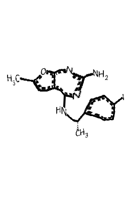 Cc1cc2c(N[C@@H](C)c3ccc(I)cc3)nc(N)nc2o1